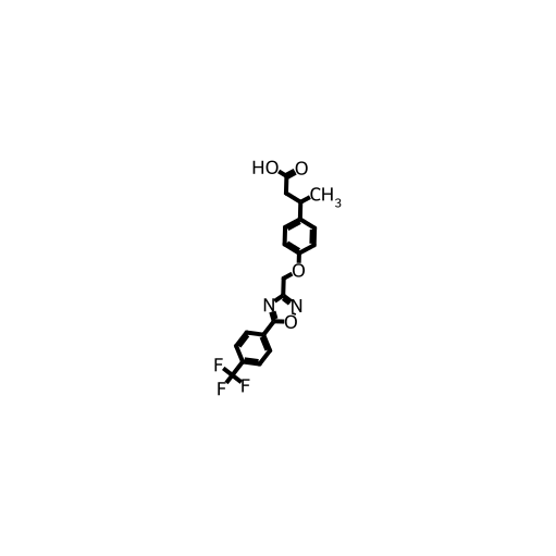 CC(CC(=O)O)c1ccc(OCc2noc(-c3ccc(C(F)(F)F)cc3)n2)cc1